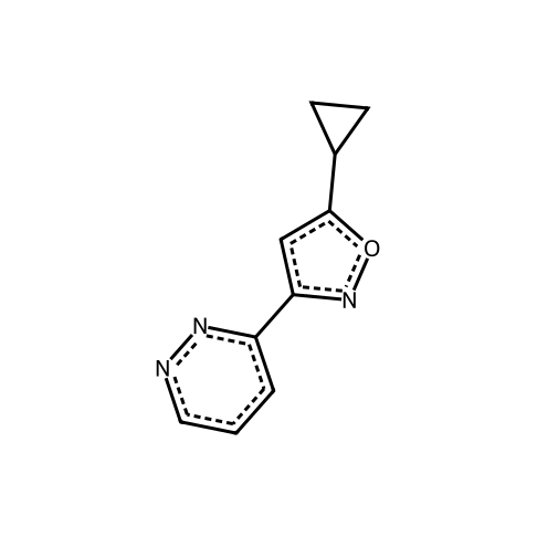 c1cnnc(-c2cc(C3CC3)on2)c1